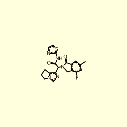 Cc1cc(F)c2c(c1)C(=O)N(C(C(=O)Nc1nccs1)c1ncn3c1CCC3)C2